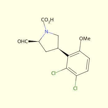 COc1ccc(Cl)c(Cl)c1[C@H]1C[C@@H](C=O)N(C(=O)O)C1